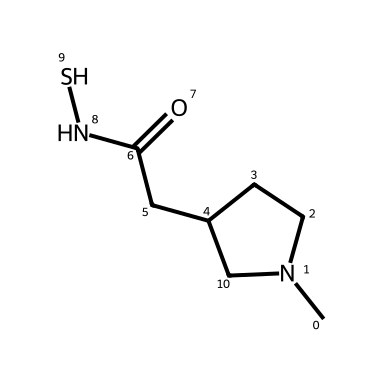 CN1CCC(CC(=O)NS)C1